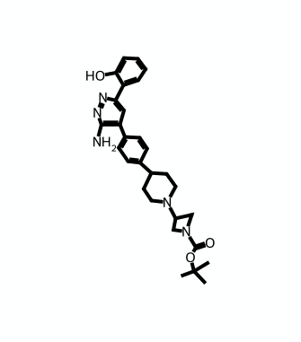 CC(C)(C)OC(=O)N1CC(N2CCC(c3ccc(-c4cc(-c5ccccc5O)nnc4N)cc3)CC2)C1